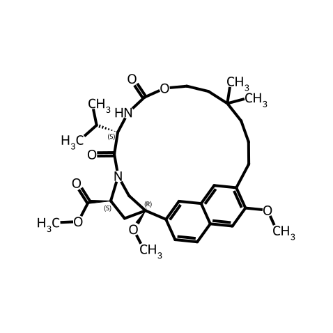 COC(=O)[C@@H]1C[C@]2(OC)CN1C(=O)[C@H](C(C)C)NC(=O)OCCC(C)(C)CCCc1cc3cc2ccc3cc1OC